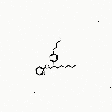 CCCCCCC(COc1ccccn1)c1ccc(CCCCC)cc1